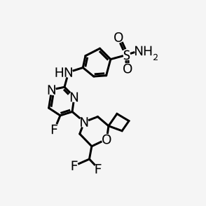 NS(=O)(=O)c1ccc(Nc2ncc(F)c(N3CC(C(F)F)OC4(CCC4)C3)n2)cc1